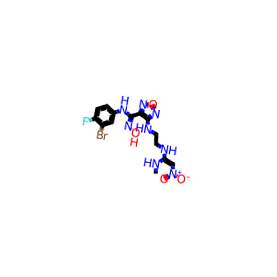 CNC(=C[N+](=O)[O-])NCCNc1nonc1C(=NO)Nc1ccc(F)c(Br)c1